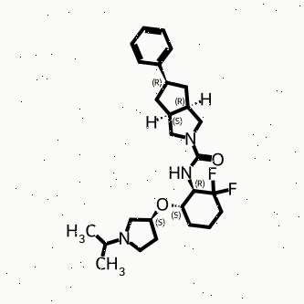 CC(C)N1CC[C@H](O[C@H]2CCCC(F)(F)[C@@H]2NC(=O)N2C[C@H]3C[C@@H](c4ccccc4)C[C@H]3C2)C1